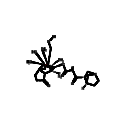 CCOC[C@]1(C)C[C@@H](OC(=O)NC(=O)[C@H]2CN3CC[C@@H]2C3)[C@@]2(C)C3C(=O)CCC3(CC[C@H]2C)[C@@H](C)[C@@H]1O